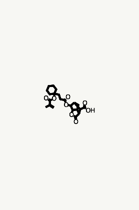 C=C(C)C(=O)OC1(CCC(=O)OC2C3CC4C2OC(=O)C4C3C(=O)O)CCCCC1